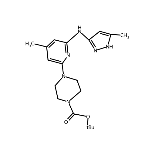 Cc1cc(Nc2cc(C)[nH]n2)nc(N2CCN(C(=O)OC(C)(C)C)CC2)c1